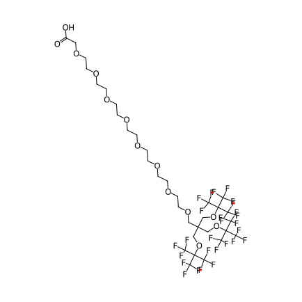 O=C(O)COCCOCCOCCOCCOCCOCCOCCOCC(COC(C(F)(F)F)(C(F)(F)F)C(F)(F)F)(COC(C(F)(F)F)(C(F)(F)F)C(F)(F)F)COC(C(F)(F)F)(C(F)(F)F)C(F)(F)F